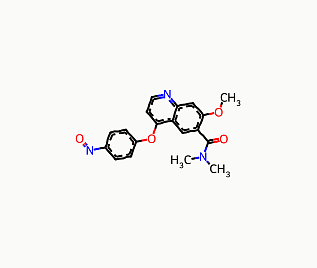 COc1cc2nccc(Oc3ccc(N=O)cc3)c2cc1C(=O)N(C)C